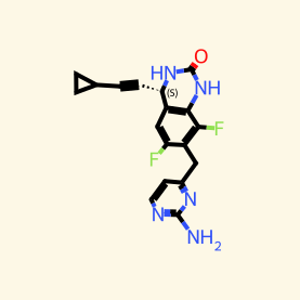 Nc1nccc(Cc2c(F)cc3c(c2F)NC(=O)N[C@H]3C#CC2CC2)n1